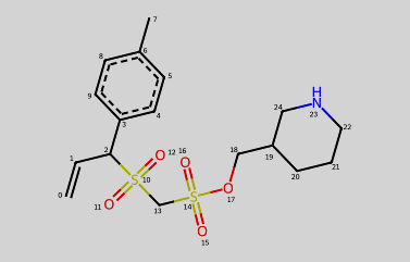 C=CC(c1ccc(C)cc1)S(=O)(=O)CS(=O)(=O)OCC1CCCNC1